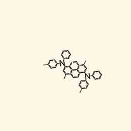 Cc1ccc(N(c2ccccc2)c2cc(C)c3ccc4c(N(c5ccccc5)c5ccc(C)cc5)cc(C)c5ccc2c3c54)cc1